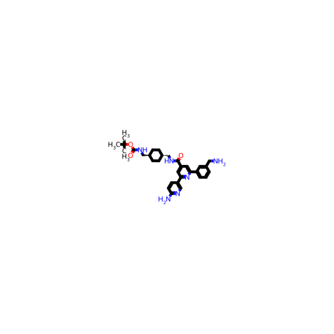 CC(C)(C)OC(=O)NC[C@H]1CC[C@H](CNC(=O)c2cc(-c3ccc(N)nc3)nc(-c3cccc(CN)c3)c2)CC1